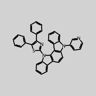 c1ccc(-c2nc(-n3c4ccccc4c4ccc5c(c6ccccc6n5-c5cccnc5)c43)sc2-c2ccccc2)cc1